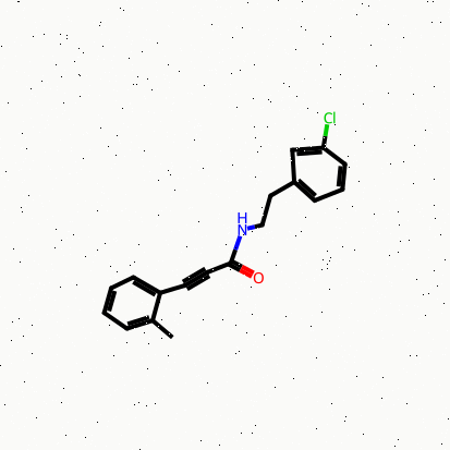 Cc1ccccc1C#CC(=O)NCCc1cccc(Cl)c1